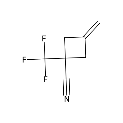 C=C1CC(C#N)(C(F)(F)F)C1